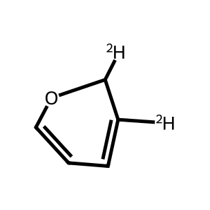 [2H]C1=CC=COC1[2H]